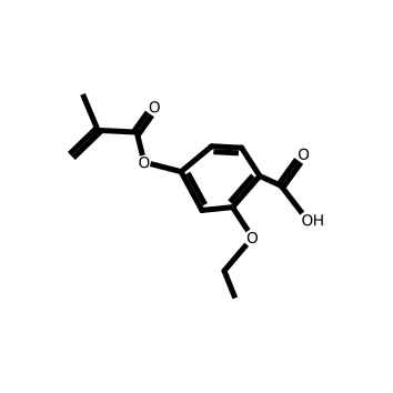 C=C(C)C(=O)Oc1ccc(C(=O)O)c(OCC)c1